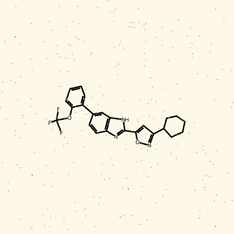 FC(F)(F)Oc1ccccc1-c1ccc2nc(-c3cc(C4CCCCC4)no3)[nH]c2c1